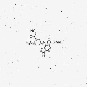 COC(=O)c1cnc2[nH]ccc2c1N[C@@H]1CC[C@H](C)N(C(=O)CC#N)C1